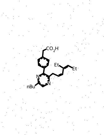 CC/C=C(\C=C/Cc1ncc(CCCC)nc1-c1ccc(CC(=O)O)cc1)CC